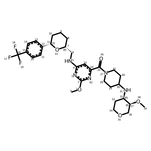 COc1nc(NC[C@H]2CCC[C@@H](c3ccc(C(F)(F)F)cc3)O2)cc(C(=O)N2CCC(N[C@@H]3CCOC[C@@H]3OC)CC2)n1